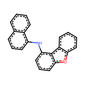 c1ccc2c(Nc3cccc4oc5ccccc5c34)cccc2c1